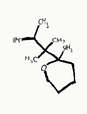 CC(C)C(C)C(C)(C)C1([SiH3])CCCCO1